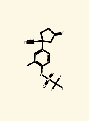 Cc1cc(C2(C#N)CCC(=O)C2)ccc1OS(=O)(=O)C(F)(F)F